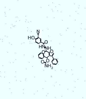 N#Cc1cc(C(=O)NNC(=O)c2occ(-c3ccccc3)c2C(OC(N)=O)c2ccccc2)ccc1O